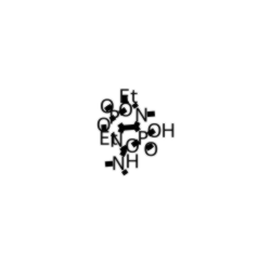 CCOP(=O)(OCC)C(N=CN(C)C)C(N(C)C)P(=O)(O)O